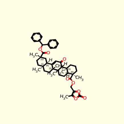 Cc1oc(=O)oc1COC(=O)[C@]1(C)CCC[C@@]2(C)[C@H]1CC[C@]1(C)[C@@H]2C(=O)C=C2[C@@H]3C[C@@](C)(C(=O)OC(c4ccccc4)c4ccccc4)CC[C@]3(C)CC[C@]21C